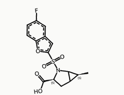 C[C@H]1C2C[C@@H](C(=O)O)N(S(=O)(=O)c3cc4cc(F)ccc4o3)C21